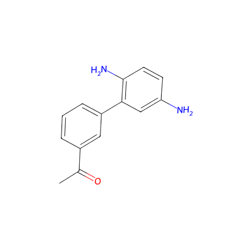 CC(=O)c1cccc(-c2cc(N)ccc2N)c1